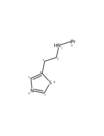 CC(C)NCCc1cncs1